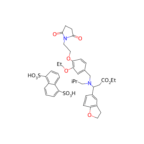 CCOC(=O)CC(c1ccc2c(c1)CCO2)N(Cc1ccc(OCCN2C(=O)CCC2=O)c(OCC)c1)CC(C)C.O=S(=O)(O)c1cccc2c(S(=O)(=O)O)cccc12